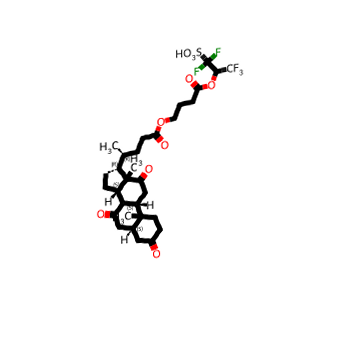 C[C@H](CCC(=O)OCCCC(=O)OC(C(F)(F)F)C(F)(F)S(=O)(=O)O)[C@H]1CC[C@H]2C3C(=O)C[C@@H]4CC(=O)CCC4(C)[C@H]3CC(=O)C12C